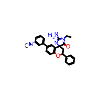 [C-]#[N+]c1cccc(-c2ccc3c(c2)C2(CC(c4ccccc4)O3)N=C(N)N(CC)C2=O)c1